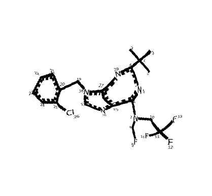 CC(C)(C)c1nc(N(CF)CC(F)(F)F)c2ncn(Cc3ccccc3Cl)c2n1